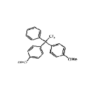 COc1ccc(C(c2ccccc2)(c2ccc(OC)cc2)C(F)(F)F)cc1